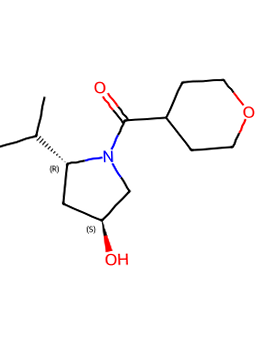 CC(C)[C@H]1C[C@H](O)CN1C(=O)C1CCOCC1